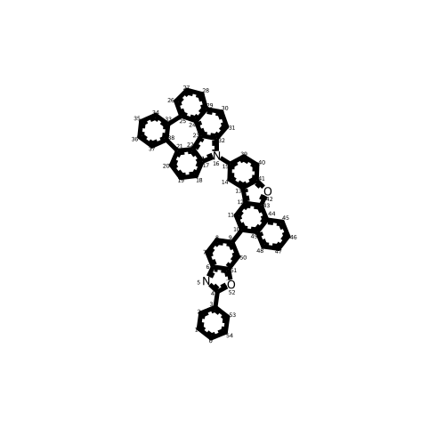 c1ccc(-c2nc3ccc(-c4cc5c6cc(-n7c8cccc9c8c8c%10c(cccc%10ccc87)-c7ccccc7-9)ccc6oc5c5ccccc45)cc3o2)cc1